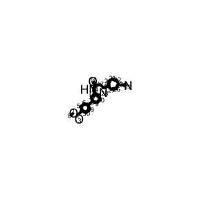 COC(=O)c1ccc(-c2ccc3c(c2)NC(=O)CC(C2=CC=CC(C#N)=C=C2)=N3)cc1